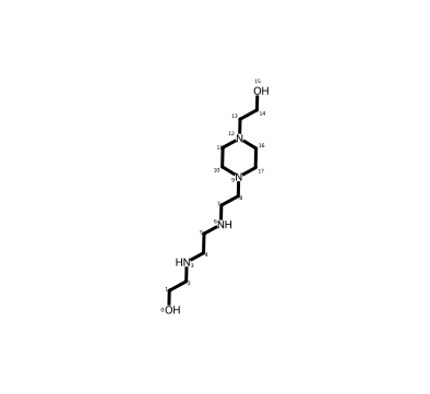 OCCNCCNCCN1CCN(CCO)CC1